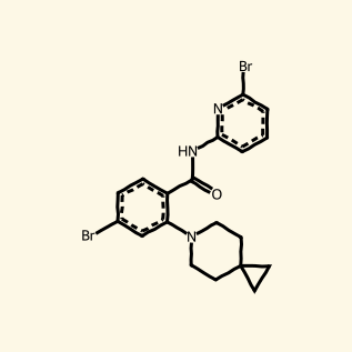 O=C(Nc1cccc(Br)n1)c1ccc(Br)cc1N1CCC2(CC1)CC2